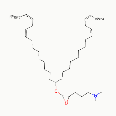 CCCCC/C=C\C/C=C\CCCCCCCCC(CCCCCCCC/C=C\C/C=C\CCCCC)OC1OC1CCCN(C)C